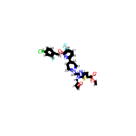 CCOC(=O)c1cc2nc(CN3CC=C(c4ccc(F)c(OCc5ccc(Cl)cc5F)n4)CC3)n(C[C@@H]3CCO3)c2s1